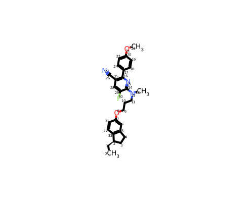 CC[C@@H]1CCc2cc(OCCCN(C)c3nc(-c4ccc(OC)cc4)c(C#N)cc3F)ccc21